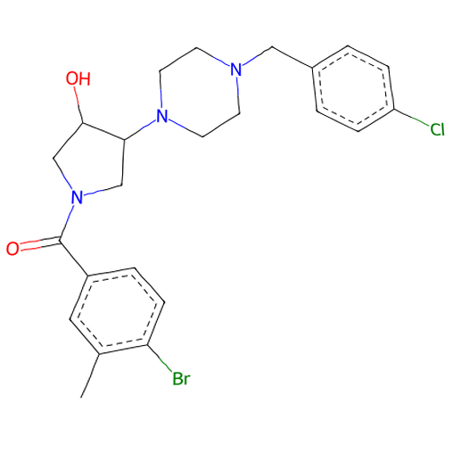 Cc1cc(C(=O)N2CC(O)C(N3CCN(Cc4ccc(Cl)cc4)CC3)C2)ccc1Br